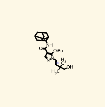 CC(C)COc1c(C(=O)NC2C3CC4CC(C3)CC2C4)cnn1/C=C/C(C)(C)CO